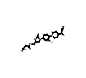 CC(C#N)=C1CCN(c2ccc(N3CC(CNC(=O)CC#N)OC3=O)cc2F)CC1